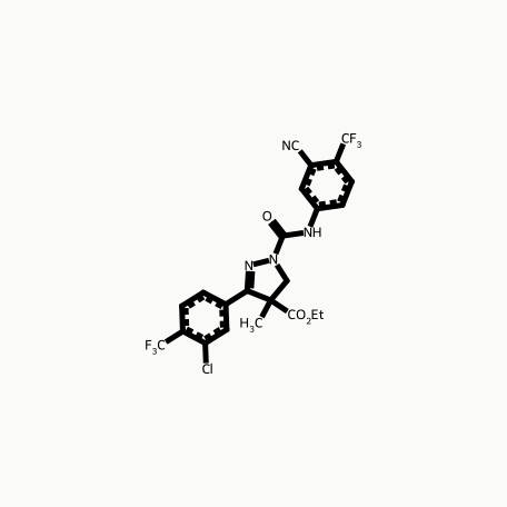 CCOC(=O)C1(C)CN(C(=O)Nc2ccc(C(F)(F)F)c(C#N)c2)N=C1c1ccc(C(F)(F)F)c(Cl)c1